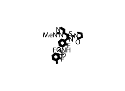 CNc1nccc(-c2sc(N3CCCC3=O)nc2-c2cccc(NS(=O)(=O)c3c(F)ccc(C)c3F)c2F)n1